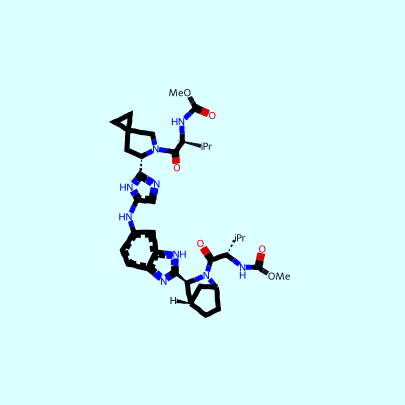 COC(=O)N[C@H](C(=O)N1CC2(CC2)C[C@H]1c1ncc(Nc2ccc3nc([C@@H]4[C@H]5CCC(C5)N4C(=O)[C@@H](NC(=O)OC)C(C)C)[nH]c3c2)[nH]1)C(C)C